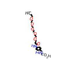 C#CCOCCOCCOCCOCCOCCC(=O)Nc1ccc(CNC(=O)O)cc1